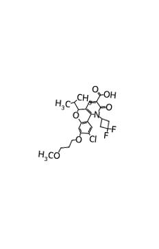 COCCCOc1cc2c(cc1Cl)-c1c(cc(C(=O)O)c(=O)n1C1CC(F)(F)C1)C(C(C)C)O2